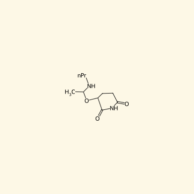 CCCNC(C)OC1CCC(=O)NC1=O